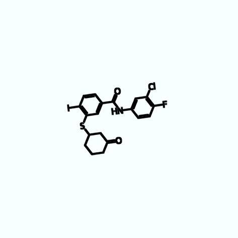 O=C1CCCC(Sc2cc(C(=O)Nc3ccc(F)c(Cl)c3)ccc2I)C1